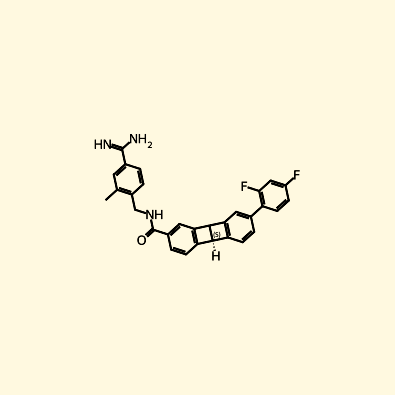 Cc1cc(C(=N)N)ccc1CNC(=O)c1ccc2c(c1)C1c3cc(-c4ccc(F)cc4F)ccc3[C@@H]21